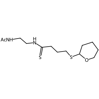 CC(=O)NCCNC(=S)CCCSC1CCCCO1